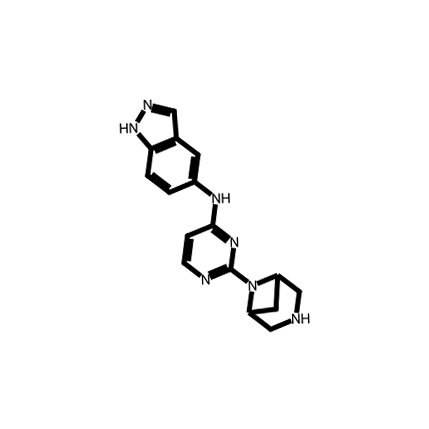 c1cc(Nc2ccc3[nH]ncc3c2)nc(N2C3CNCC2C3)n1